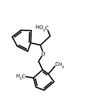 Cc1cccc(C)c1COC(CC(=O)O)c1ccccc1